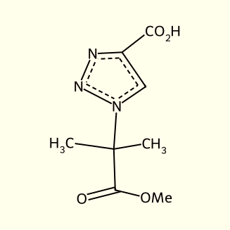 COC(=O)C(C)(C)n1cc(C(=O)O)nn1